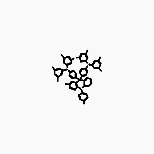 Cc1ccc(N2c3ccccc3C(c3ccc(N(c4cc(C)cc(C)c4)c4cc(C)cc(C)c4)cc3)(c3ccc(N(c4cc(C)cc(C)c4)c4cc(C)cc(C)c4)cc3)c3cc(C)ccc32)cc1